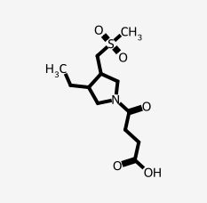 CCC1CN(C(=O)CCC(=O)O)CC1CS(C)(=O)=O